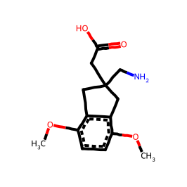 COc1ccc(OC)c2c1CC(CN)(CC(=O)O)C2